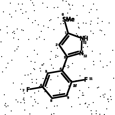 CSc1cc(-c2cc(F)ccc2F)n[nH]1